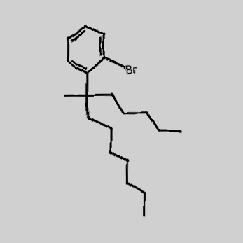 CCCCCCCC(C)(CCCCC)c1ccccc1Br